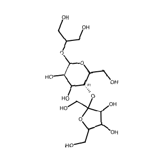 OCC(CO)OC1OC(CO)[C@H](OC2(CO)OC(CO)C(O)C2O)C(O)C1O